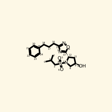 CC(C)CS(=O)(=O)N1C[C@H](O)C[C@H]1c1nc(CCCc2ccccc2)no1